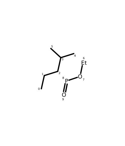 CCCC(C)C.CCOP=O